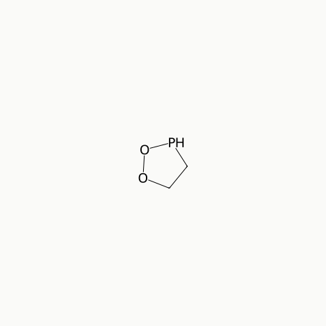 C1CPOO1